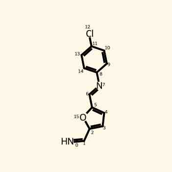 N=Cc1ccc(/C=N/c2ccc(Cl)cc2)o1